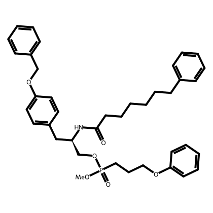 COP(=O)(CCCOc1ccccc1)OC[C@@H](Cc1ccc(OCc2ccccc2)cc1)NC(=O)CCCCCCc1ccccc1